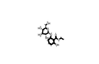 CCOC(=O)c1c(O)cccc1O[C@@H]1O[C@H](CO)[C@@H](O)[C@H](O)[C@H]1O